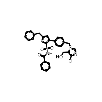 O=C(NS(=O)(=O)c1sc(Cc2ccccc2)cc1-c1ccc(Cn2cnc(Cl)c2CO)cc1)c1ccccc1